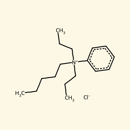 CCCCC[N+](CCC)(CCC)c1ccccc1.[Cl-]